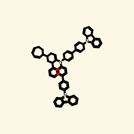 C1=CCCC(C2CC=C(N(c3ccc(-c4ccc(-n5c6ccccc6c6ccccc65)cc4)cc3)C3C=CC(C4=CCC(N5c6ccccc6C6C=CC=CC65)C=C4)=CC3)C(c3ccccc3)C2)C=C1